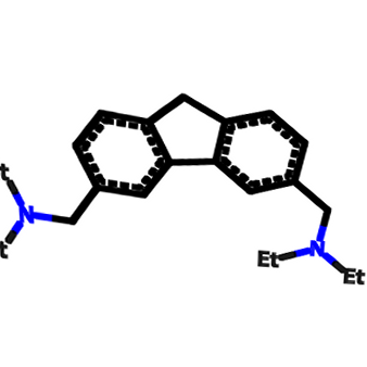 CCN(CC)Cc1ccc2c(c1)-c1cc(CN(CC)CC)ccc1C2